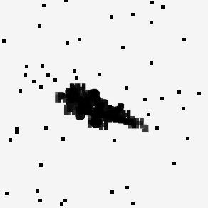 C=CCOC(=O)N(CC(=O)N[C@@H](Cc1ccccc1)CN(CC(=O)N[C@@H](CCCCN)CN(CC(=O)N[C@@H](CC(C)C)CN(CC(N)=O)C(=O)CC(C)C)C(=O)CC(C)C)C(=O)CCc1ccccc1)C[C@@H](N)CCCCN